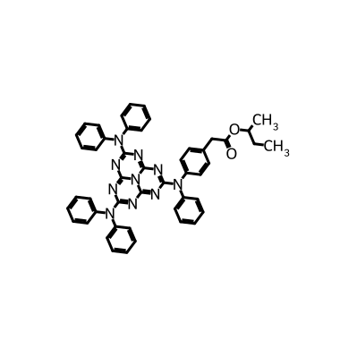 CCC(C)OC(=O)Cc1ccc(N(C2=NC3=NC(N(c4ccccc4)c4ccccc4)=NC4=NC(N(c5ccccc5)c5ccccc5)=NC(=N2)N43)c2ccccc2)cc1